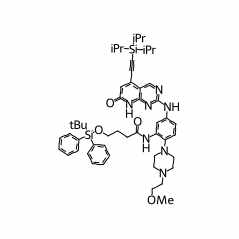 COCCN1CCN(c2ccc(Nc3ncc4c(C#C[Si](C(C)C)(C(C)C)C(C)C)cc(=O)[nH]c4n3)cc2NC(=O)CCCO[Si](c2ccccc2)(c2ccccc2)C(C)(C)C)CC1